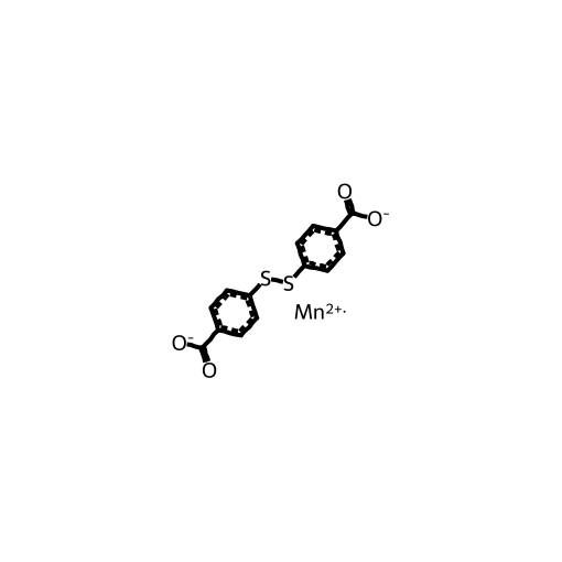 O=C([O-])c1ccc(SSc2ccc(C(=O)[O-])cc2)cc1.[Mn+2]